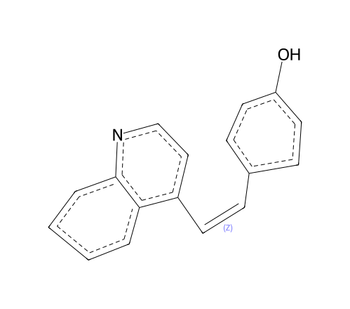 Oc1ccc(/C=C\c2ccnc3ccccc23)cc1